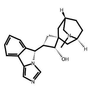 CN1C[C@H]2CC[C@H]1C[C@@]1(C2)C[C@@H]([C@H]2c3ccccc3-c3cncn32)[C@H]1O